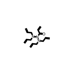 C=CCN(CC=C)N(C(=O)C=C)N(CC=C)CC=C